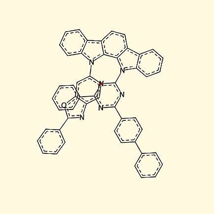 c1ccc(-c2ccc(-c3nc(-c4ccccc4)nc(-n4c5ccccc5c5ccc6c7ccccc7n(-c7ccc8nc(-c9ccccc9)oc8c7)c6c54)n3)cc2)cc1